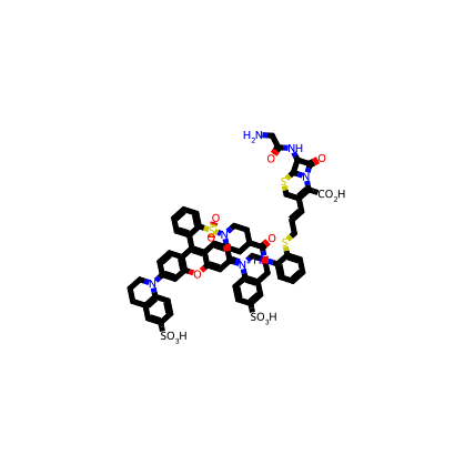 NCC(=O)NC1C(=O)N2C(C(=O)O)=C(/C=C/CSc3ccccc3NC(=O)C3CCN(S(=O)(=O)c4ccccc4-c4c5cc/c(=[N+]6\CCCc7cc(S(=O)(=O)O)ccc76)cc-5oc5cc(N6CCCc7cc(S(=O)(=O)O)ccc76)ccc45)CC3)CSC12